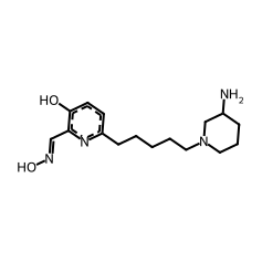 NC1CCCN(CCCCCc2ccc(O)c(C=NO)n2)C1